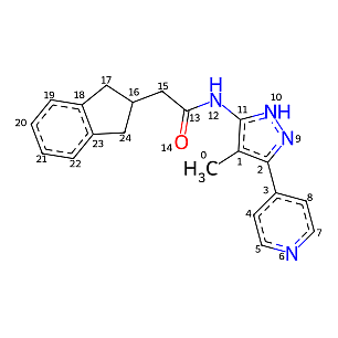 Cc1c(-c2ccncc2)n[nH]c1NC(=O)CC1Cc2ccccc2C1